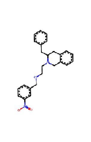 O=[N+]([O-])c1cccc(CNCCN2Cc3ccccc3CC2Cc2ccccc2)c1